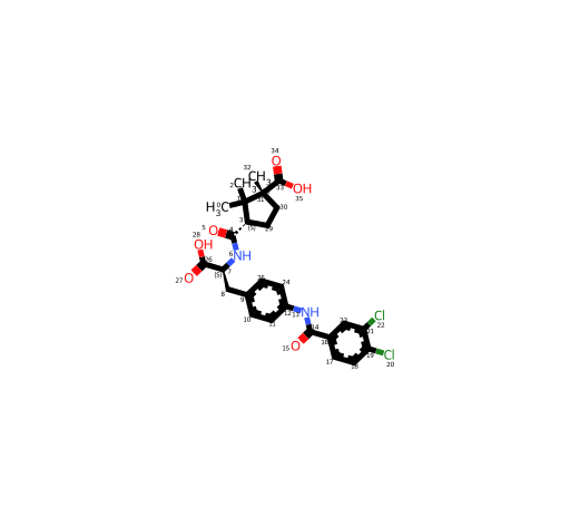 CC1(C)[C@@H](C(=O)N[C@@H](Cc2ccc(NC(=O)c3ccc(Cl)c(Cl)c3)cc2)C(=O)O)CC[C@@]1(C)C(=O)O